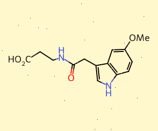 COc1ccc2[nH]cc(CC(=O)NCCC(=O)O)c2c1